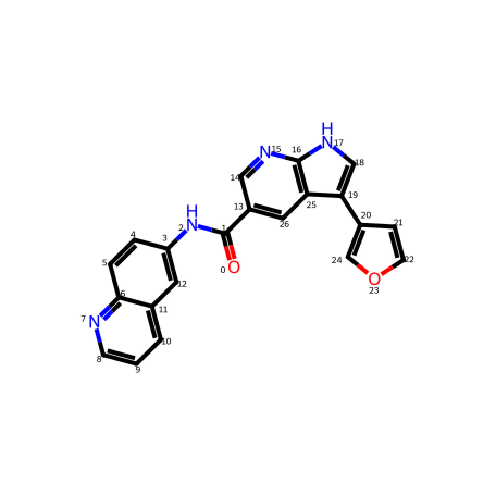 O=C(Nc1ccc2ncccc2c1)c1cnc2[nH]cc(-c3ccoc3)c2c1